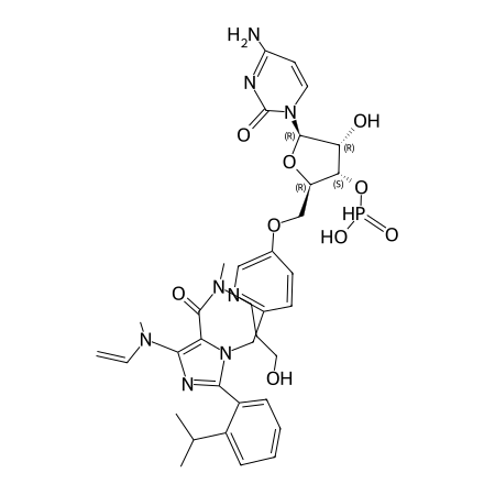 C=CN(C)c1nc(-c2ccccc2C(C)C)n(Cc2ccc(OC[C@H]3O[C@@H](n4ccc(N)nc4=O)[C@H](O)[C@@H]3O[PH](=O)O)cn2)c1C(=O)N(C)CCCO